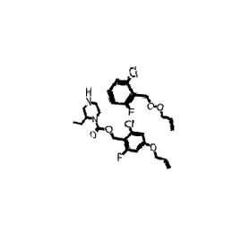 C=CCOOCc1c(F)cccc1Cl.C=CCOc1cc(F)c(COC(=O)N2CCNCC2CC)c(Cl)c1